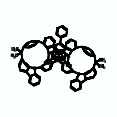 CC(C)(C)c1ccc(-c2cccc3c2N2c4cc(ccc4B4c5ccc6cc5N(c5cc(-c7ccccc7)cc2c54)c2c(-c4ccc(C(C)(C)C)cc4)cccc2-c2ccc(cc2)C(C)(C)c2ccc4c5ccccc5n-6c4c2)-n2c4ccccc4c4ccc(cc42)C(C)(C)c2ccc-3cc2)cc1